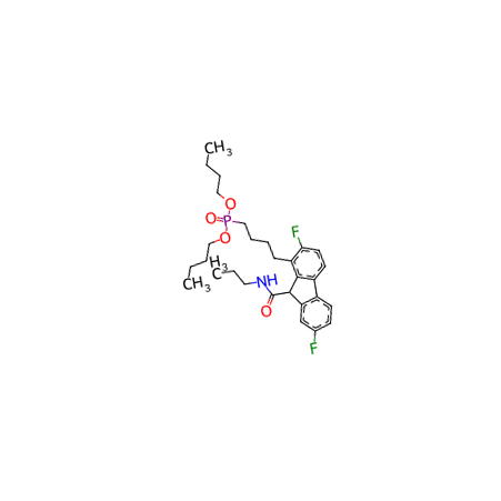 CCCCOP(=O)(CCCCc1c(F)ccc2c1C(C(=O)NCCC)c1cc(F)ccc1-2)OCCCC